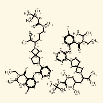 CCN(C(=O)c1cc(F)ccc1Oc1nnccc1N1CCC2(C1)CN(C(CCCN(C)C(=O)OC(C)(C)C)C(C)C)C2)C(C)C.CCN(C(=O)c1cc(F)ccc1Oc1nncnc1N1CCC2(C1)CN(C(CC(CN(C)C(=O)OC(C)(C)C)OC)C(C)C)C2)C(C)C